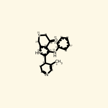 CC1=CN=CCC1c1[nH]c2c(c1Nc1ccccc1)C(=O)CSC2